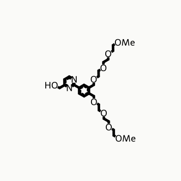 COCCOCCOCCOCc1ccc(-c2nccc(CO)n2)cc1COCCOCCOCCOC